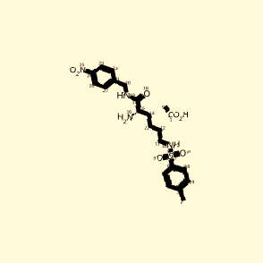 CC(=O)O.Cc1ccc(S(=O)(=O)NCCCC[C@H](N)C(=O)NCc2ccc([N+](=O)[O-])cc2)cc1